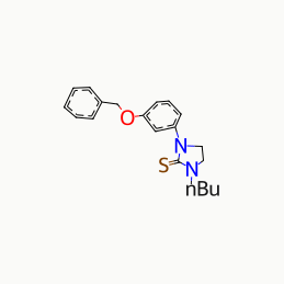 CCCCN1CCN(c2cccc(OCc3ccccc3)c2)C1=S